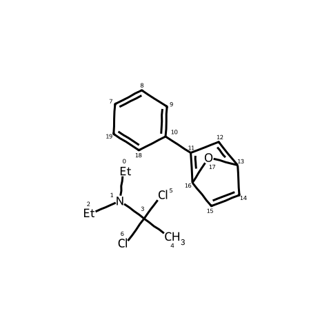 CCN(CC)C(C)(Cl)Cl.c1ccc(-c2cc3ccc2o3)cc1